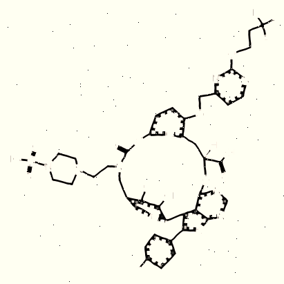 O=C(O)[C@H]1Cc2cc(ccc2OCc2ccnc(OCCC(F)(F)F)n2)CC(=O)N(CCN2CCN(S(=O)(=O)O)CC2)Cc2ccc(c(O)c2Cl)-c2c(-c3ccc(F)cc3)sc3ncnc(c23)O1